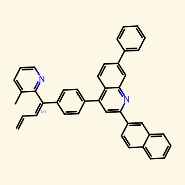 C=C/C=C(/c1ccc(-c2cc(-c3ccc4ccccc4c3)nc3cc(-c4ccccc4)ccc23)cc1)c1ncccc1C